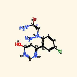 N/C(Br)=C\N(N)c1ccc(Cl)cc1-c1cc(O)ncn1